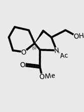 COC(=O)C1N(C(C)=O)C(CO)C[C@@]12CCCCO2